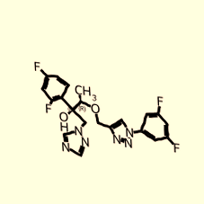 C[C@@H](OCc1cn(-c2cc(F)cc(F)c2)nn1)[C@](O)(Cn1cncn1)c1ccc(F)cc1F